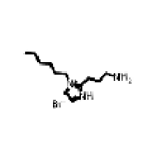 CCCCCC[n+]1cc[nH]c1CCCN.[Br-]